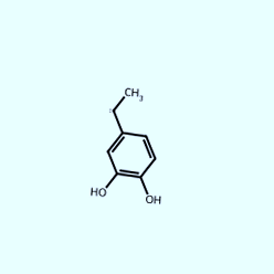 C[C]c1ccc(O)c(O)c1